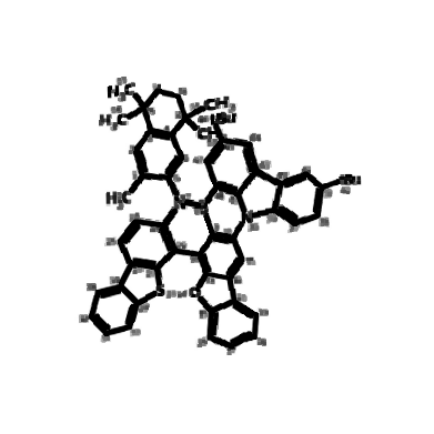 Cc1cc2c(cc1N1B3c4c(cc5c(oc6ccccc65)c4-c4c1ccc1c4sc4ccccc41)-n1c4ccc(C(C)(C)C)cc4c4cc(C(C)(C)C)cc3c41)C(C)(C)CCC2(C)C